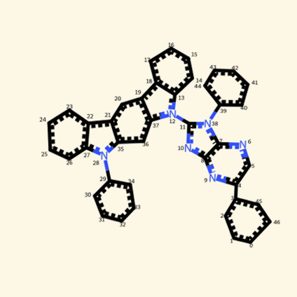 c1ccc(-c2cnc3c(n2)nc(-n2c4ccccc4c4cc5c6ccccc6n(-c6ccccc6)c5cc42)n3-c2ccccc2)cc1